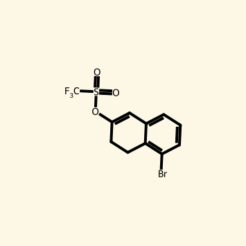 O=S(=O)(OC1=Cc2cccc(Br)c2CC1)C(F)(F)F